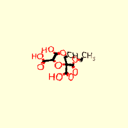 CCOC(=O)C(CC)(OC(C(=O)O)C(=O)O)C(=O)O